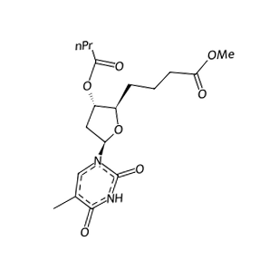 CCCC(=O)O[C@H]1C[C@H](n2cc(C)c(=O)[nH]c2=O)O[C@@H]1CCCC(=O)OC